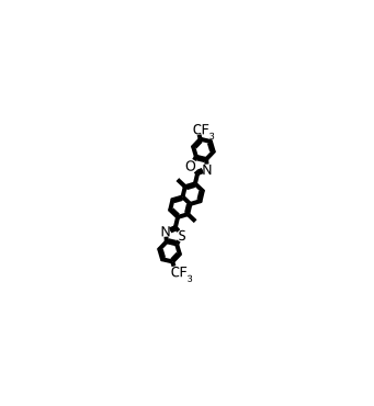 Cc1c(-c2nc3ccc(C(F)(F)F)cc3o2)ccc2c(C)c(-c3nc4ccc(C(F)(F)F)cc4s3)ccc12